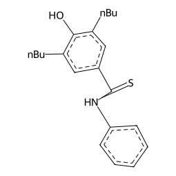 CCCCc1cc(C(=S)Nc2ccccc2)cc(CCCC)c1O